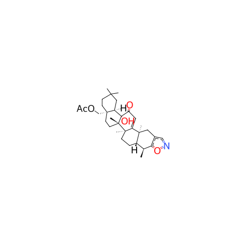 CC(=O)OC[C@]12CCC(C)(C)C[C@H]1[C@@]1(O)C(=O)C=C3[C@@]4(C)Cc5cnoc5[C@@H](C)[C@@H]4CC[C@@]3(C)[C@]1(C)CC2